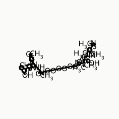 COc1cc(-c2scnc2C)ccc1[C@H](C)NC(=O)[C@@H]1C[C@@H](O)CN1C(=O)[C@@H](c1cc(OCCOCCOCCOCCOCCOCCN(C)C(=O)CCNc2nc(N3CCN(C(C)=O)CC3)c3cc(Cl)c(-c4cc(O)cc5ccccc45)c(F)c3n2)no1)C(C)C